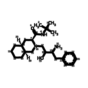 CC(C)(C)NC(=O)[C@@H]1C[C@@H]2CCCC[C@@H]2CN1CC(O)C(N)Cc1ccccc1